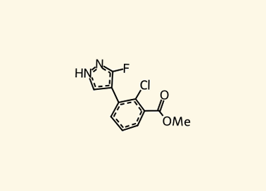 COC(=O)c1cccc(-c2c[nH]nc2F)c1Cl